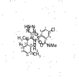 CNC(=O)c1cc(Cl)ccc1S(=O)(=O)N[C@H](c1nn[nH]n1)[C@H](C)c1c(F)ccc(C)c1C